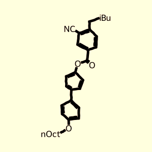 CCCCCCCCOc1ccc(-c2ccc(OC(=O)c3ccc(CC(C)CC)c(C#N)c3)cc2)cc1